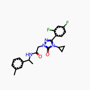 Cc1cccc(C(C)NC(=O)Cn2nc(-c3ccc(F)cc3F)n(C3CC3)c2=O)c1